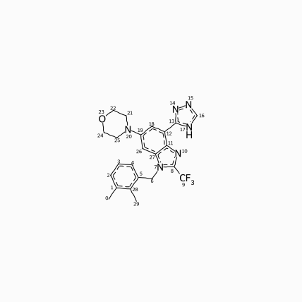 Cc1cccc(Cn2c(C(F)(F)F)nc3c(-c4nnc[nH]4)cc(N4CCOCC4)cc32)c1C